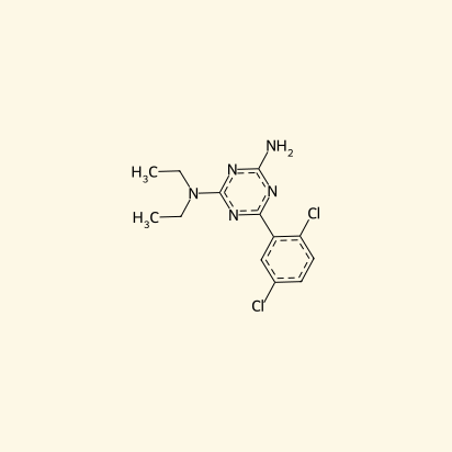 CCN(CC)c1nc(N)nc(-c2cc(Cl)ccc2Cl)n1